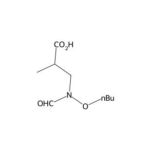 CCCCON(C=O)CC(C)C(=O)O